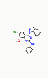 COc1cccc2c(Nc3ccccc3C)nc(Nc3ccccc3C)nc12.Cl